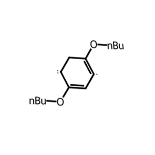 CCCCOC1=[C]C=C(OCCCC)[C]C1